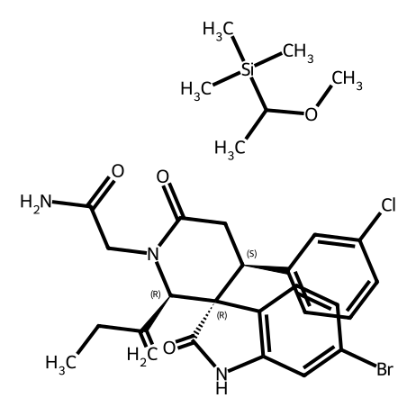 C=C(CC)[C@H]1N(CC(N)=O)C(=O)C[C@@H](c2cccc(Cl)c2)[C@]12C(=O)Nc1cc(Br)ccc12.COC(C)[Si](C)(C)C